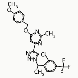 COc1ccc(COc2cc(-c3cn(C(C)c4ccc(C(F)(F)F)cc4Cl)nn3)nc(C)n2)cc1